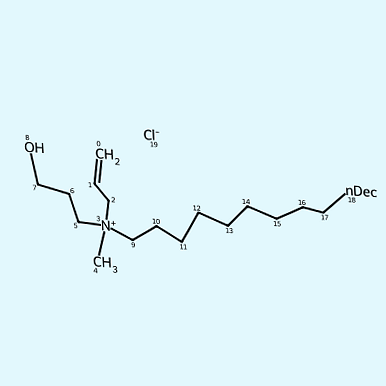 C=CC[N+](C)(CCCO)CCCCCCCCCCCCCCCCCCC.[Cl-]